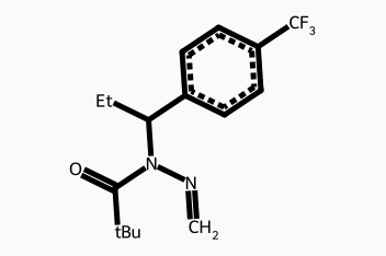 C=NN(C(=O)C(C)(C)C)C(CC)c1ccc(C(F)(F)F)cc1